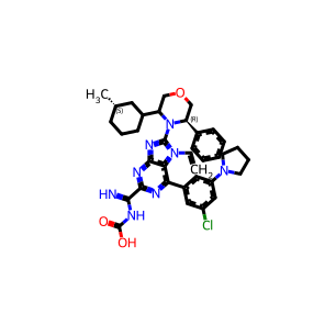 C=Cn1c(N2C(C3CCC[C@H](C)C3)COC[C@H]2c2ccccc2)nc2nc(C(=N)NC(=O)O)nc(-c3cc(Cl)cc(N4CCCC4)c3)c21